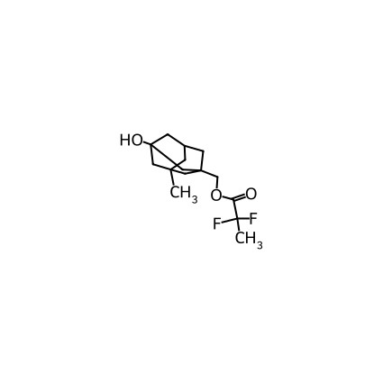 CC12CC3CC(O)(C1)CC(COC(=O)C(C)(F)F)(C3)C2